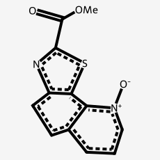 COC(=O)c1nc2ccc3ccc[n+]([O-])c3c2s1